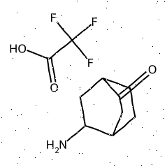 NC1CC2CCC1CC2=O.O=C(O)C(F)(F)F